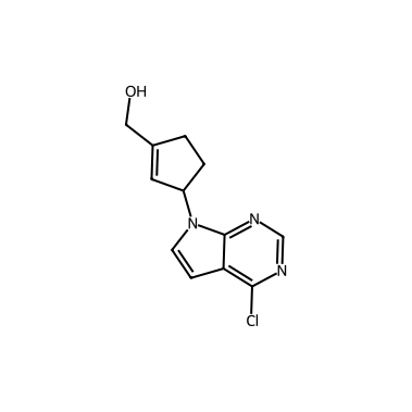 OCC1=CC(n2ccc3c(Cl)ncnc32)CC1